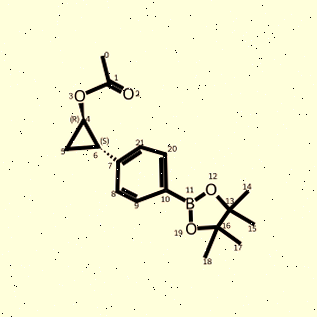 CC(=O)O[C@@H]1C[C@H]1c1ccc(B2OC(C)(C)C(C)(C)O2)cc1